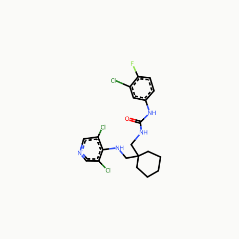 O=C(NCC1(CNc2c(Cl)cncc2Cl)CCCCC1)Nc1ccc(F)c(Cl)c1